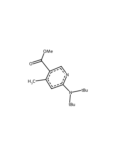 COC(=O)c1cnc(N(C(C)(C)C)C(C)(C)C)cc1C